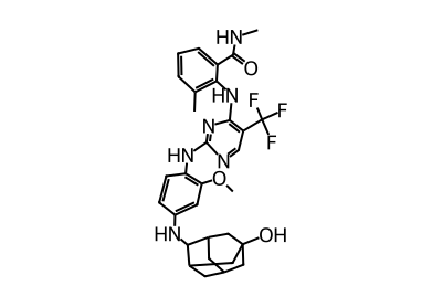 CNC(=O)c1cccc(C)c1Nc1nc(Nc2ccc(NC3C4CC5CC3CC(O)(C5)C4)cc2OC)ncc1C(F)(F)F